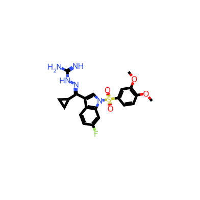 COc1ccc(S(=O)(=O)n2cc(/C(=N/NC(=N)N)C3CC3)c3ccc(F)cc32)cc1OC